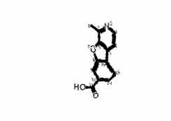 Cc1nccc2c1oc1cc(C(=O)O)ccc12